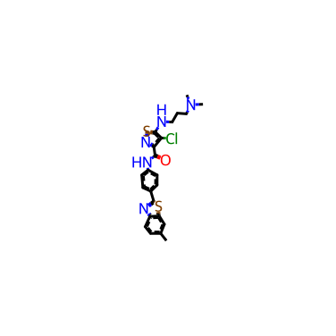 Cc1ccc2nc(-c3ccc(NC(=O)c4nsc(NCCCN(C)C)c4Cl)cc3)sc2c1